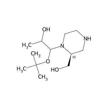 CC(O)C(OC(C)(C)C)N1CCNC[C@H]1CO